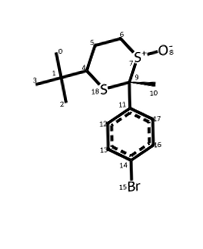 CC(C)(C)C1CC[S+]([O-])[C@](C)(c2ccc(Br)cc2)S1